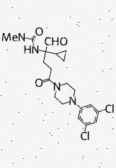 CNC(=O)NC(C=O)(CCC(=O)N1CCN(c2cc(Cl)cc(Cl)c2)CC1)C1CC1